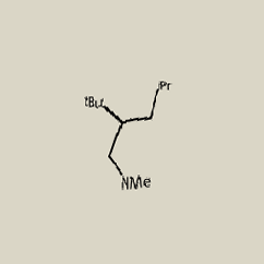 CNCC(CC(C)C)C(C)(C)C